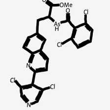 COC(=O)C(Cc1ccc2nc(-c3c(Cl)cncc3Cl)ccc2c1)[AsH]C(=O)c1c(Cl)cccc1Cl